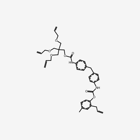 C=CCOCC(COCC=C)(COCC=C)COC(=O)Nc1ccc(Cc2ccc(NC(=O)Oc3ccc(C)cc3CC=C)cc2)cc1